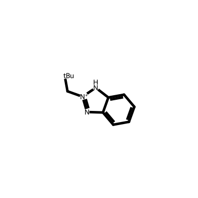 CC(C)(C)C[n+]1nc2ccccc2[nH]1